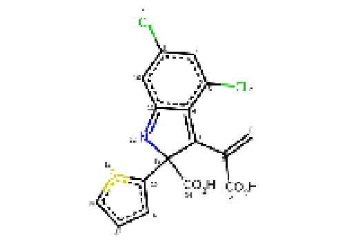 C=C(C(=O)O)C1=c2c(Cl)cc(Cl)cc2=NC1(C(=O)O)c1cccs1